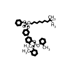 CC(C)CCCCCCCOP(=O)(Oc1ccccc1)Oc1ccccc1.Cc1ccccc1OP(Oc1ccccc1C)Oc1ccccc1C